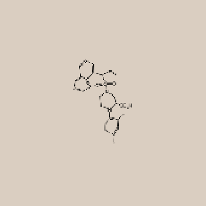 C=CC(c1cccc2ccccc12)S(=O)(=O)N1CCN(c2ccc(F)cc2C)C(C(=O)O)C1